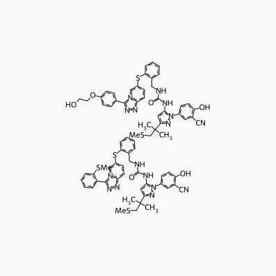 CSCC(C)(C)c1cc(NC(=O)NCc2ccccc2Sc2ccc3nnc(-c4ccc(OCCO)cc4)n3c2)n(-c2ccc(O)c(C#N)c2)n1.CSCC(C)(C)c1cc(NC(=O)NCc2ccccc2Sc2ccc3nnc(-c4ccccc4SC)n3c2)n(-c2ccc(O)c(C#N)c2)n1